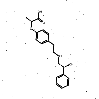 C[C@H](Oc1ccc(CCNC[C@@H](O)c2ccccc2)cc1)C(=O)O